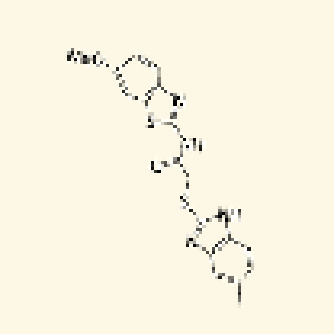 COc1ccc2nc(NC(=O)CSc3nc4cc(C)ccc4[nH]3)sc2c1